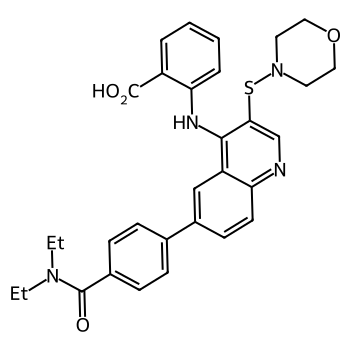 CCN(CC)C(=O)c1ccc(-c2ccc3ncc(SN4CCOCC4)c(Nc4ccccc4C(=O)O)c3c2)cc1